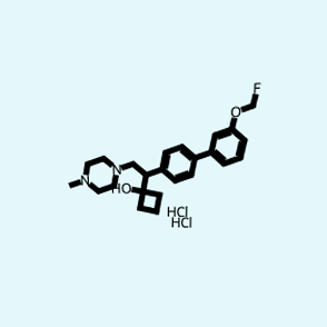 CN1CCN(CC(c2ccc(-c3cccc(OCF)c3)cc2)C2(O)CCC2)CC1.Cl.Cl